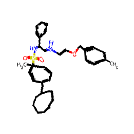 CC1=CCC(COCCNCC(NS(=O)(=O)C2(C)C=CC=C(C3CCCCCCC3)C=C2)c2ccccc2)=CC1